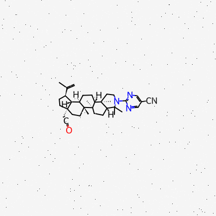 C=C(C)[C@@H]1CC[C@]2(C=C=O)CC[C@]3(C)[C@H](CC[C@@H]4[C@@]5(C)CCN(c6ncc(C#N)cn6)C(C)(C)[C@@H]5CC[C@]43C)[C@@H]12